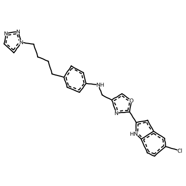 Clc1ccc2[nH]c(-c3nc(CNc4ccc(CCCCn5ccnn5)cc4)co3)cc2c1